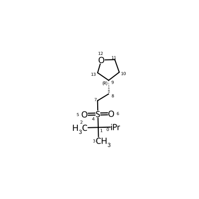 CC(C)C(C)(C)S(=O)(=O)CC[C@H]1CCOC1